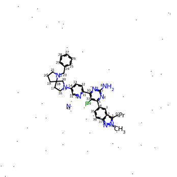 CC(C)c1c2cc(-c3nc(N)nc(-c4ccc(N5CCC6(CCCN6Cc6ccccc6)C5)cn4)c3F)ccc2nn1C.[N]